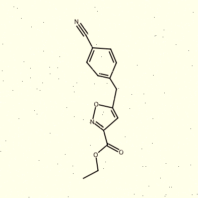 CCOC(=O)c1cc(Cc2ccc(C#N)cc2)on1